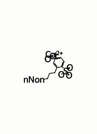 CCCCCCCCCCCCc1ccccc1S(=O)(=O)[O-].[Ca+2].[O-]Cl